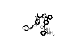 Cc1nc2cc(OCCN3CCOCC3)ccn2c1-c1csc(C2(c3ccc(C(=O)Nc4ccccc4N)cc3)CCCC2)n1